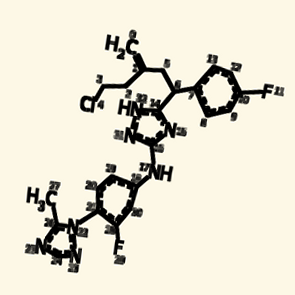 C=C(CCCl)CC(c1ccc(F)cc1)c1nc(Nc2ccc(-n3ncnc3C)c(F)c2)n[nH]1